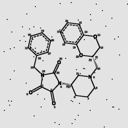 O=C1C(=O)N([C@H]2CCCN(C[C@H]3COc4ccccc4O3)C2)C(=O)N1Cc1ccccc1